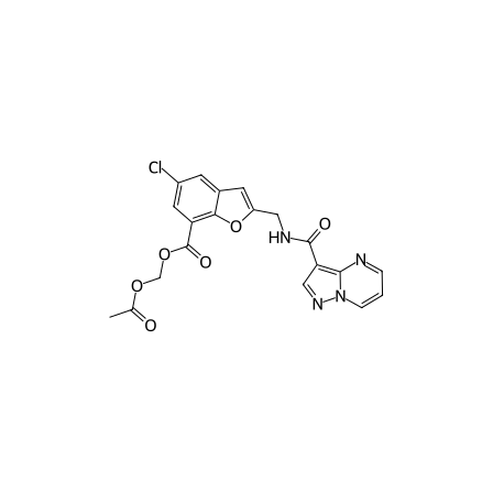 CC(=O)OCOC(=O)c1cc(Cl)cc2cc(CNC(=O)c3cnn4cccnc34)oc12